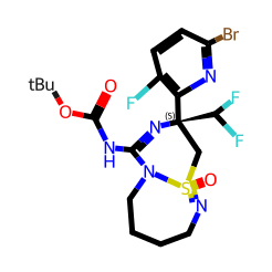 CC(C)(C)OC(=O)NC1=N[C@@](c2nc(Br)ccc2F)(C(F)F)CS2(=O)=NCCCCN12